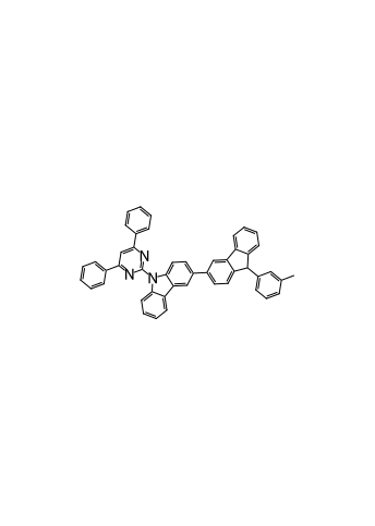 Cc1cccc(C2c3ccccc3-c3cc(-c4ccc5c(c4)c4ccccc4n5-c4nc(-c5ccccc5)cc(-c5ccccc5)n4)ccc32)c1